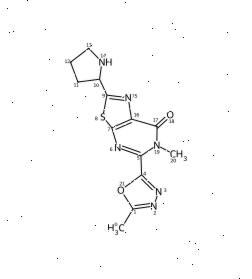 Cc1nnc(-c2nc3sc(C4CCCN4)nc3c(=O)n2C)o1